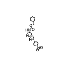 O=C(Nc1cnc2nc(-c3ccc([N+](=O)[O-])cc3)cn2c1)OCc1ccccc1